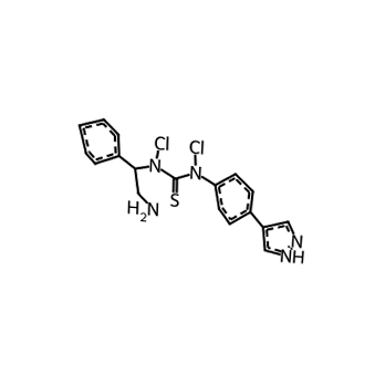 NCC(c1ccccc1)N(Cl)C(=S)N(Cl)c1ccc(-c2cn[nH]c2)cc1